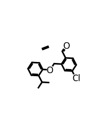 C=C.CC(C)c1ccccc1OCc1cc(Cl)ccc1C=O